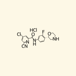 Cl.N#Cc1cc(Cl)cc(C(=O)Nc2ccc([C@H]3CNCCO3)c(F)c2)n1